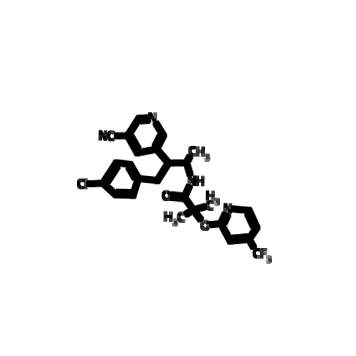 CC(NC(=O)C(C)(C)Oc1cc(C(F)(F)F)ccn1)C(Cc1ccc(Cl)cc1)c1cncc(C#N)c1